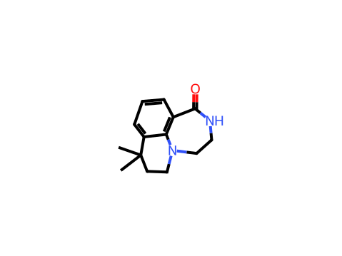 CC1(C)CCN2CCNC(=O)c3cccc1c32